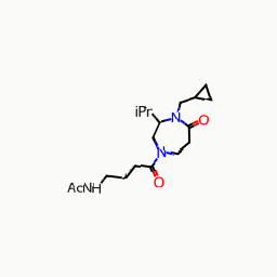 CC(=O)NCCCC(=O)N1CCC(=O)N(CC2CC2)C(C(C)C)C1